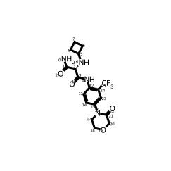 NC(=O)[C@H](NC1CCC1)C(=O)Nc1ccc(N2CCOCC2=O)cc1C(F)(F)F